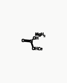 O=[Si](O)O.[Ce].[MgH2]